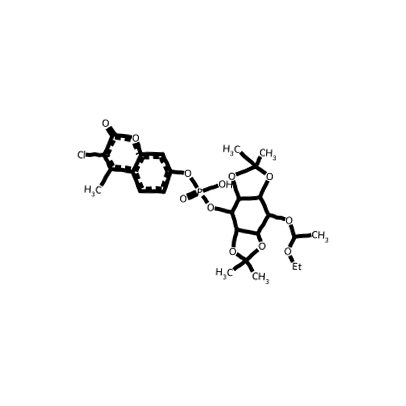 CCOC(C)OC1C2OC(C)(C)OC2C(OP(=O)(O)Oc2ccc3c(C)c(Cl)c(=O)oc3c2)C2OC(C)(C)OC12